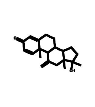 C=C1CC2(C)C(CCC2(C)O)C2CCC3=CC(=O)C=CC3(C)C12